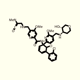 CNC(=C=O)CNCc1cnc(C(=O)NC2(c3ccc(CN[C@@H]4CCOC[C@H]4O)c(OC)n3)C=CC=C(c3ccccc3Cl)C2Cl)cc1OC